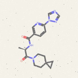 C[C@@H](NC(=O)c1ccc(-n2cncn2)nc1)C(=O)N1CCC2(CC1)CC2